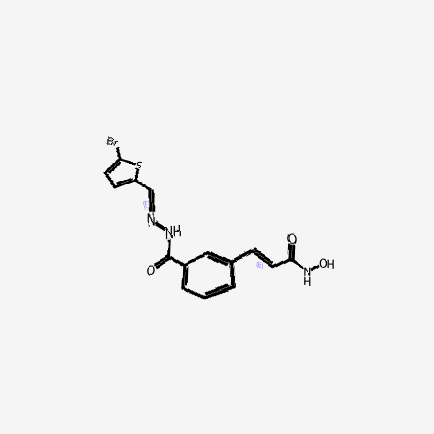 O=C(/C=C/c1cccc(C(=O)N/N=C/c2ccc(Br)s2)c1)NO